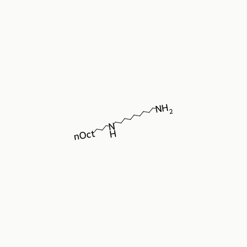 CCCCCCCCCCCNCCCCCCCCCN